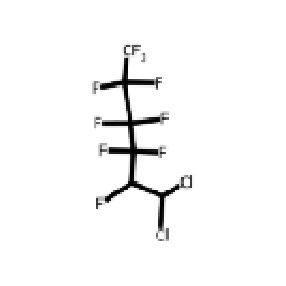 FC(C(Cl)Cl)C(F)(F)C(F)(F)C(F)(F)C(F)(F)F